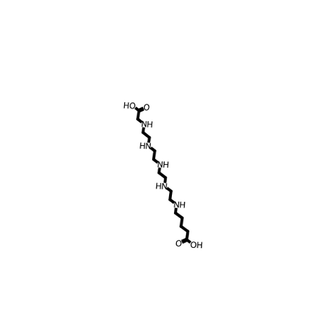 O=C(O)CCCCNCCNCCNCCNCCNCC(=O)O